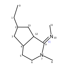 CCC1CC2CCN(C)/C(=N/C)C2C1